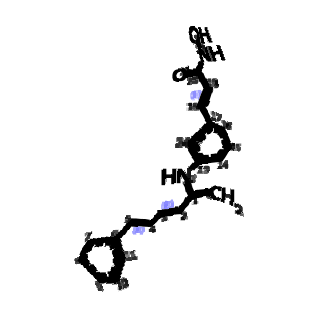 C=C(/C=C/C=C/c1ccccc1)Nc1cccc(/C=C/C(=O)NO)c1